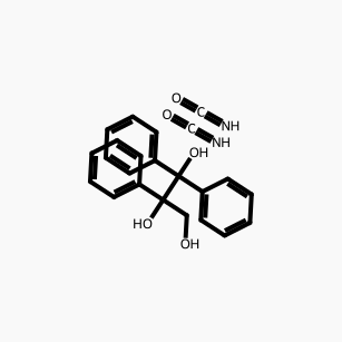 N=C=O.N=C=O.OCC(O)(c1ccccc1)C(O)(c1ccccc1)c1ccccc1